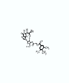 Cc1cc(C(=O)OCC(=O)OC2C(CO)OC(n3cnc4c(=O)[nH]c(NC(=O)C(C)C)nc43)C2F)cc(C)c1C